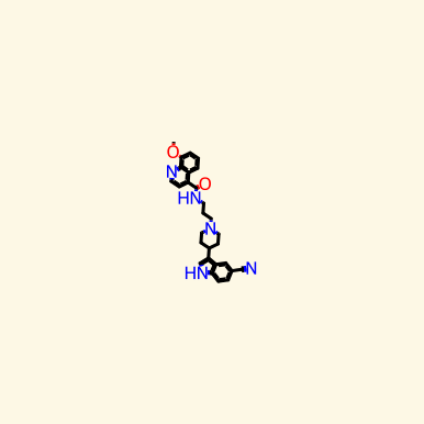 COc1cccc2c(C(=O)NCCCN3CCC(c4c[nH]c5ccc(C#N)cc45)CC3)ccnc12